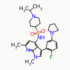 Cc1cc(NS(=O)(=O)C2CCN(C(C)C)CC2)c2c(-c3cc(N4CCCC4)ccc3F)cn(C)c2n1